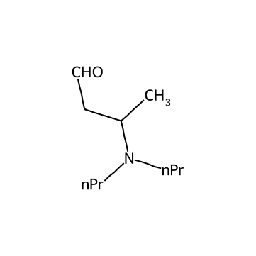 CCCN(CCC)C(C)CC=O